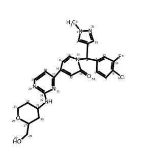 Cn1cc(C(c2ccc(Cl)c(F)c2)n2ccc(-c3ccnc(NC4CCOC(CO)C4)n3)cc2=O)cn1